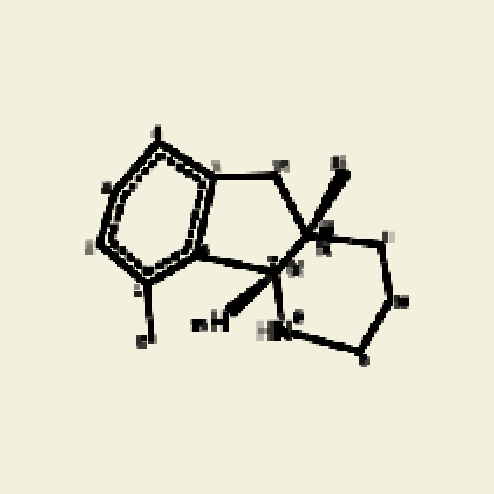 Cc1cccc2c1[C@H]1NCCC[C@@]1(C)C2